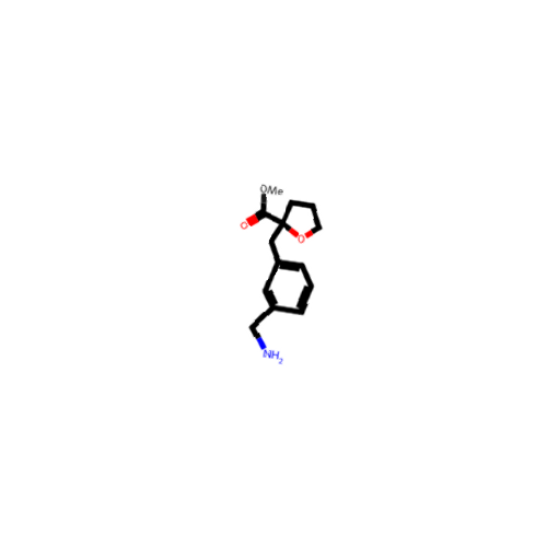 COC(=O)C1(Cc2cccc(CN)c2)CCCO1